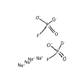 O=P([O-])([O-])F.O=P([O-])([O-])F.[Na+].[Na+].[Na+].[Na+]